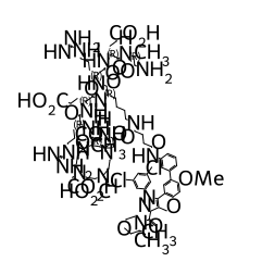 COc1cc2c(cc1-c1cccc(NC(=O)CCC(=O)NCCCC[C@@H](NC(=O)[C@@H](CCC(=O)O)NC(=O)[C@@H](CCCNC(=N)N)NC(=O)[C@@H](C)NC(=O)CN3CCN(CC(=O)O)CCN(CC(=O)O)CCN(CC(=O)O)CC3)C(=O)N[C@H](CCCNC(=N)N)C(=O)N[C@H](CCC(=O)O)C(=O)N[C@H](C)C(N)=O)c1)-c1c(c(C(=O)N3CCOCC3(C)C)nn1-c1cc(Cl)cc(Cl)c1)CO2